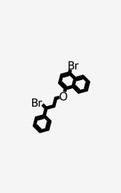 Brc1ccc(OCCC(Br)c2ccccc2)c2ccccc12